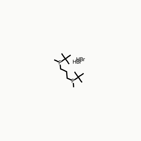 Br.Br.CP(CCCP(C)C(C)(C)C)C(C)(C)C